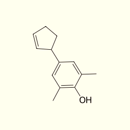 Cc1cc(C2C=CCC2)cc(C)c1O